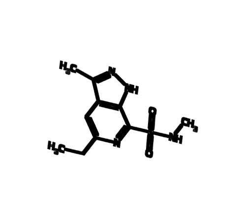 CCc1cc2c(C)n[nH]c2c(S(=O)(=O)NC)n1